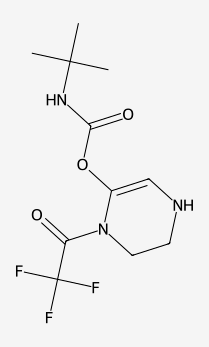 CC(C)(C)NC(=O)OC1=CNCCN1C(=O)C(F)(F)F